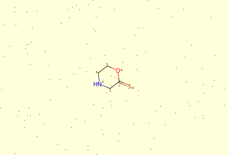 S=C1CNCCO1